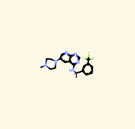 C[C@@H](Nc1ncnc2ncc(N3CCN(C)CC3)cc12)c1cccc(C(F)(F)F)c1